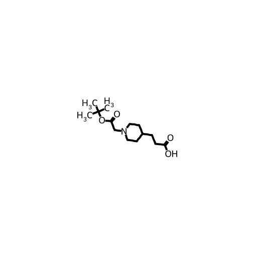 CC(C)(C)OC(=O)CN1CCC(CCC(=O)O)CC1